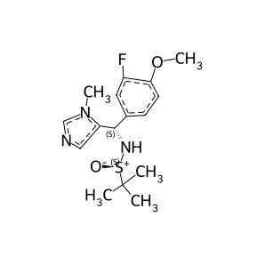 COc1ccc([C@H](N[S@+]([O-])C(C)(C)C)c2cncn2C)cc1F